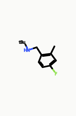 Cc1cc(F)ccc1CNC(C)(C)C